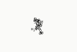 CC(C)OC(=O)OCC(COC(=O)OC(C)C)(OC1(Cn2cnc3c(Sc4ccc([N+](=O)[O-])cc4)nc(N)nc32)CC1C)P(=O)(O)O